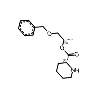 C[C@@H](COCc1ccccc1)OC(=O)[C@H]1CCCCN1